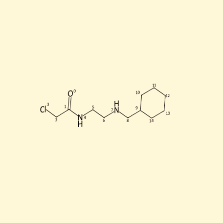 O=C(CCl)NCCNCC1CCCCC1